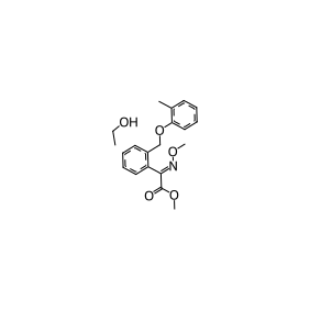 CCO.CO/N=C(/C(=O)OC)c1ccccc1COc1ccccc1C